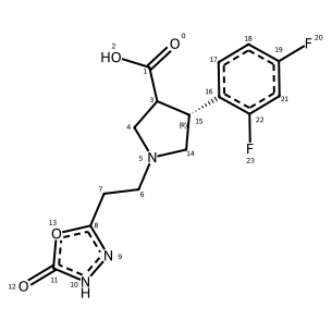 O=C(O)C1CN(CCc2n[nH]c(=O)o2)C[C@H]1c1ccc(F)cc1F